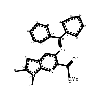 COC(=O)c1nc2c(cc1N=C(c1ccccc1)c1ccccc1)cc(C)n2C